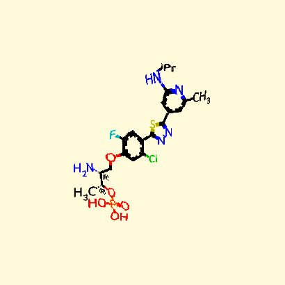 Cc1cc(-c2nnc(-c3cc(F)c(OC[C@@H](N)[C@@H](C)OP(=O)(O)O)cc3Cl)s2)cc(NC(C)C)n1